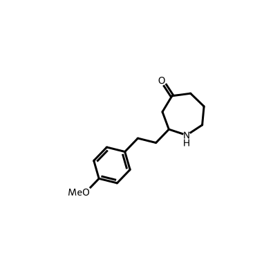 COc1ccc(CCC2CC(=O)CCCN2)cc1